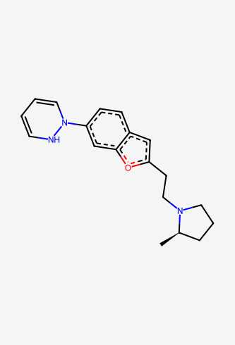 C[C@@H]1CCCN1CCc1cc2ccc(N3C=CC=CN3)cc2o1